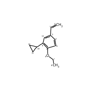 C=Cc1ccc(OCC)c(C2CC2)c1